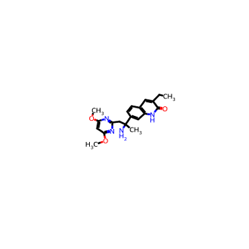 CCc1cc2ccc(C(C)(N)Cc3nc(OC)cc(OC)n3)cc2[nH]c1=O